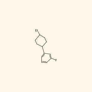 CCC1CCC(c2cccc(F)c2)CC1